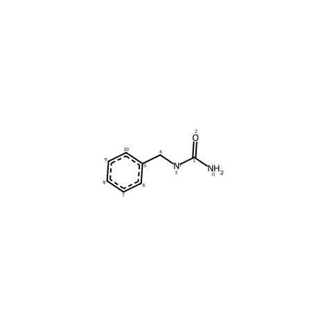 NC(=O)[N]Cc1ccccc1